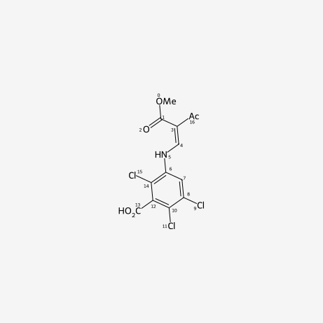 COC(=O)C(=CNc1cc(Cl)c(Cl)c(C(=O)O)c1Cl)C(C)=O